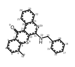 O=c1c2cccc(F)c2sc2c(NCc3ccccc3)nc3ccccc3c12